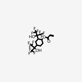 C=CC(=O)OC1CCC(C(O)(C(F)(F)F)C(F)(F)F)CC1C(O)(C(F)(F)F)C(F)(F)F